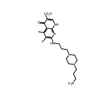 Cc1c(F)c(NCCCN2CCN(CCCN)CC2)nc2[nH]cc(C(=O)O)c(=O)c12